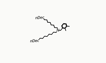 CCCCCCCCCCCCCCCCCCN(CCCCCCCCCCCCCCCCCC)Cc1cccc(C)c1C